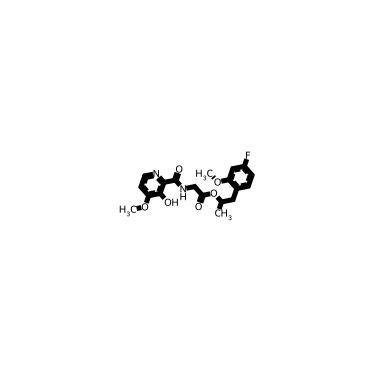 COc1cc(F)ccc1CC(C)OC(=O)CNC(=O)c1nccc(OC)c1O